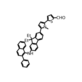 CCC1(CC)c2cc(Nc3c(-c4ccccc4)ccc4ccccc34)ccc2-c2ccc(-c3ccc(-c4ccc(C=O)s4)n3C)cc21